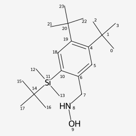 CC(C)(C)c1cc(CNO)c([Si](C)(C)C(C)(C)C)cc1C(C)(C)C